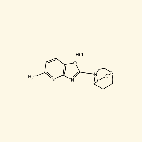 Cc1ccc2oc(N3CCN4CCC3CC4)nc2n1.Cl